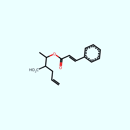 C=CCC(C(=O)O)C(C)OC(=O)/C=C/c1ccccc1